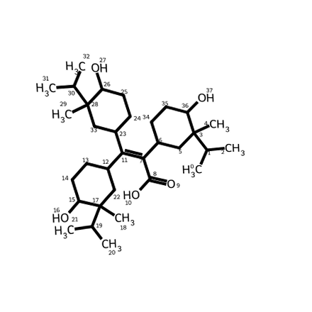 CC(C)C1(C)CC(C(C(=O)O)=C(C2CCC(O)C(C)(C(C)C)C2)C2CCC(O)C(C)(C(C)C)C2)CCC1O